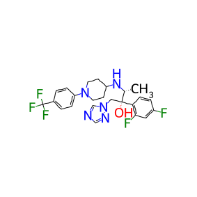 C[C@@H](NC1CCN(c2ccc(C(F)(F)F)cc2)CC1)[C@](O)(Cn1cncn1)c1ccc(F)cc1F